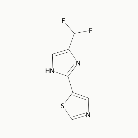 FC(F)c1c[nH]c(-c2cncs2)n1